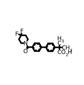 CC(C)(C(=O)O)c1ccc(-c2ccc(C(=O)N3CCC(F)(F)CC3)cc2)cc1